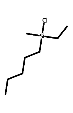 CCCCC[Si](C)(Cl)CC